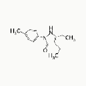 CCc1[nH]n(-c2ccc(C)cc2)c(=O)c1CC